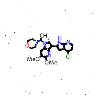 COc1cc2c(nc1OC)c(-c1cc3c(Cl)ccnc3[nH]1)cn2C(C)N1CCOCC1